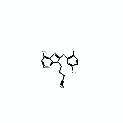 C#CCCCn1c(Sc2cc(C(F)(F)F)ccc2I)nc2c(N)ncnc21